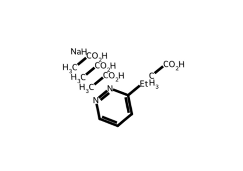 CC(=O)O.CC(=O)O.CC(=O)O.CC(=O)O.CCc1cccnn1.[NaH]